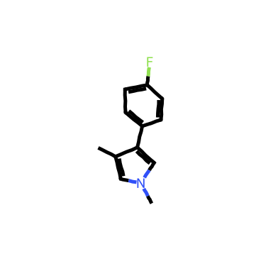 Cc1cn(C)cc1-c1ccc(F)cc1